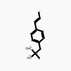 CC=Cc1ccc(CC(C)(O)C=O)cc1